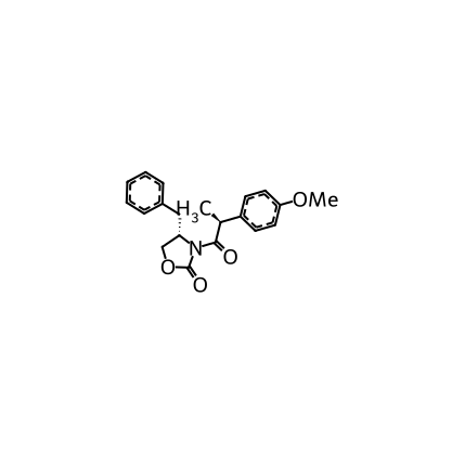 COc1ccc([C@H](C)C(=O)N2C(=O)OC[C@@H]2Cc2ccccc2)cc1